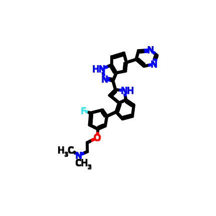 CN(C)CCOc1cc(F)cc(-c2cccc3[nH]c(-c4n[nH]c5ccc(-c6cncnc6)cc45)cc23)c1